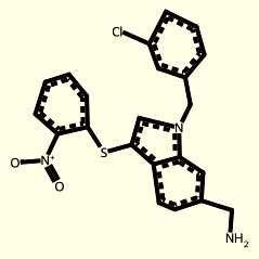 NCc1ccc2c(Sc3ccccc3[N+](=O)[O-])cn(Cc3cccc(Cl)c3)c2c1